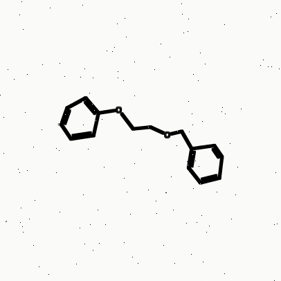 [c]1ccc(OCCOCc2ccccc2)cc1